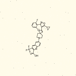 O=C(O)c1nc2ccc(N3CCC4(C=C(c5c(-c6c(F)cccc6Cl)noc5C5CC5)C4)CC3)cc2cc1C(F)(F)F